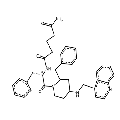 NC(=O)CCCC(=O)N[C@@H](Cc1ccccc1)C(=O)N1CCC(NCc2ccnc3ccccc23)CC1Cc1ccccc1